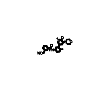 Cc1ccc(NC(=O)c2cccc(CC#N)c2)cc1-c1cc(N2CCOCC2)c(=O)n(C)c1